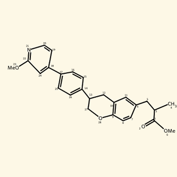 COC(=O)C(C)Cc1ccc2c(c1)CC(c1ccc(-c3ccnc(OC)c3)cc1)CO2